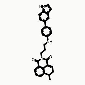 CC1CC=C2C(=O)N(CCCNc3ccc(-c4ccc5[nH]ccc5c4)cc3)C(=O)c3cccc1c32